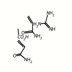 C=CC(N)=O.C=CC(N)=O.CC(=O)O.N=C(N)N